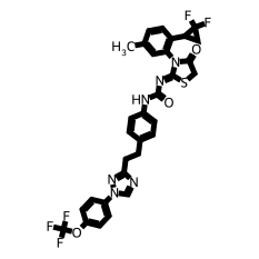 Cc1ccc(C2CC2(F)F)c(N2C(=O)CSC2=NC(=O)Nc2ccc(CCc3ncn(-c4ccc(OC(F)(F)F)cc4)n3)cc2)c1